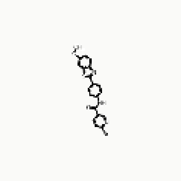 COc1ccc2nc(-c3ccc(NC(=O)c4ccc(Br)nc4)cc3)sc2c1